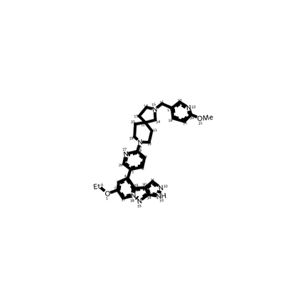 CCOc1cc(-c2ccc(N3CCC4(CCN(Cc5ccc(OC)nc5)C4)CC3)nc2)c2c3cn[nH]c3nn2c1